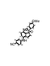 COc1ccc(S(=O)(=O)n2ccc3c(Nc4ccc(C#N)cc4)ccc([N+](=O)[O-])c32)cc1